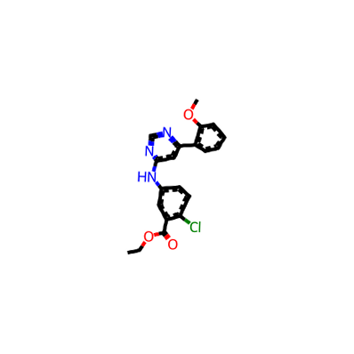 CCOC(=O)c1cc(Nc2cc(-c3ccccc3OC)ncn2)ccc1Cl